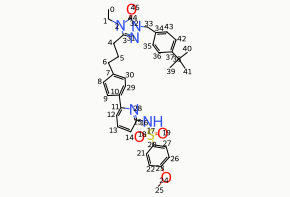 CCn1c(CCCc2ccc(-c3cccc(NS(=O)(=O)c4ccc(OC)cc4)n3)cc2)nn(Cc2ccc(C(C)(C)C)cc2)c1=O